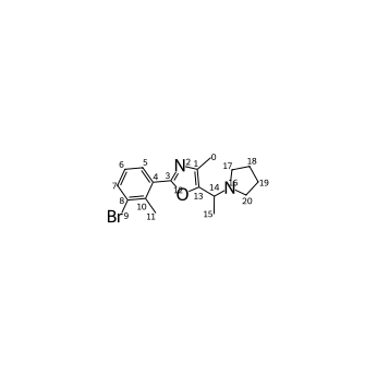 Cc1nc(-c2cccc(Br)c2C)oc1C(C)N1CCCC1